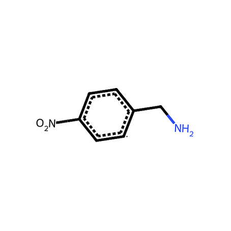 NCc1[c]cc([N+](=O)[O-])cc1